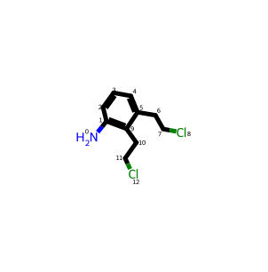 Nc1cccc(CCCl)c1CCCl